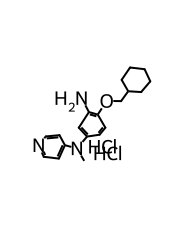 CN(c1ccncc1)c1ccc(OCC2CCCCC2)c(N)c1.Cl.Cl